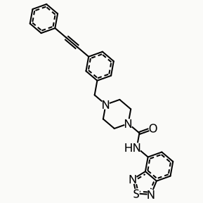 O=C(Nc1cccc2nsnc12)N1CCN(Cc2cccc(C#Cc3ccccc3)c2)CC1